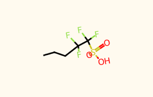 CCCC(F)(F)C(F)(F)S(=O)(=O)O